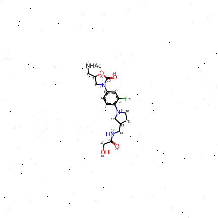 CC(=O)NCC1CN(c2ccc(N3CCC(CNC(=O)CO)C3)c(F)c2)C(=O)O1